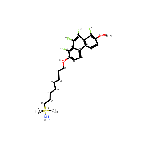 CCCOc1ccc2c(c1F)c(F)c(F)c1c(F)c(OCCCCCCCCS(C)(C)N)ccc12